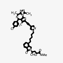 CNC(=O)CCC(C=O)N1Cc2c(CCCCCn3cc(C#Cc4sc5c(c4C)C(c4ccc(Cl)cc4)=N[C@@H](C)c4nnc(C)n4-5)cn3)cccc2C1=O